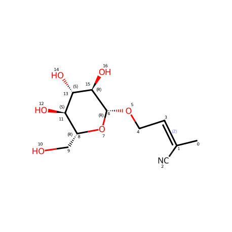 C/C(C#N)=C/CO[C@@H]1O[C@H](CO)[C@@H](O)[C@H](O)[C@H]1O